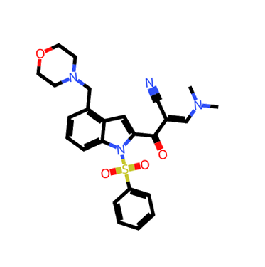 CN(C)C=C(C#N)C(=O)c1cc2c(CN3CCOCC3)cccc2n1S(=O)(=O)c1ccccc1